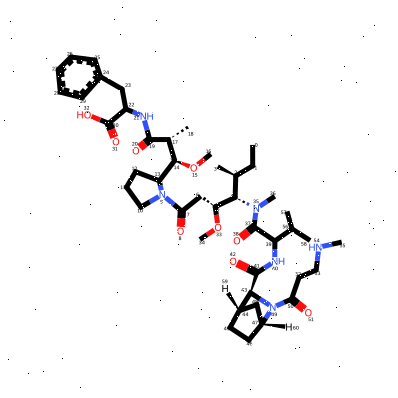 CC[C@H](C)[C@@H]([C@@H](CC(=O)N1CCCC1[C@H](OC)[C@@H](C)C(=O)NC(Cc1ccccc1)C(=O)O)OC)N(C)C(=O)C(NC(=O)[C@@H]1[C@H]2CC[C@H](C2)N1C(=O)CCNC)C(C)C